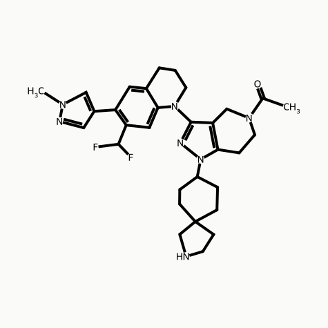 CC(=O)N1CCc2c(c(N3CCCc4cc(-c5cnn(C)c5)c(C(F)F)cc43)nn2C2CCC3(CCNC3)CC2)C1